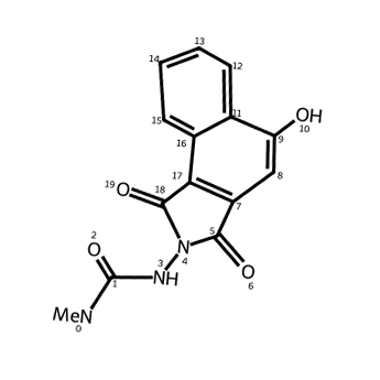 CNC(=O)NN1C(=O)c2cc(O)c3ccccc3c2C1=O